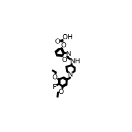 CCOc1cc(CN2CCC(Nc3nc4c(OC(=O)O)cccc4o3)CC2)cc(OCC)c1F